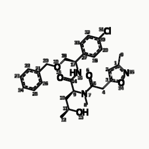 Cc1cc(CC(=O)N(C)[C@@H](C[C@H](C)O)C(=O)N[C@@H](COCc2ccccc2)c2ccc(Cl)cc2)on1